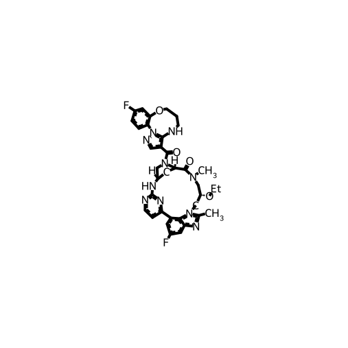 CCO[C@H]1CN(C)C(=O)[C@@H]2C[C@@H](CN2C(=O)c2cnn3c2NCCCOc2cc(F)ccc2-3)Nc2nccc(n2)-c2cc(F)cc3nc(C)n(c23)C1